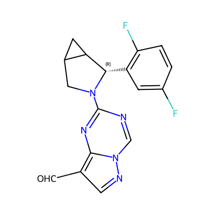 O=Cc1cnn2cnc(N3CC4CC4[C@@H]3c3cc(F)ccc3F)nc12